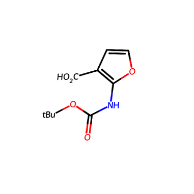 CC(C)(C)OC(=O)Nc1occc1C(=O)O